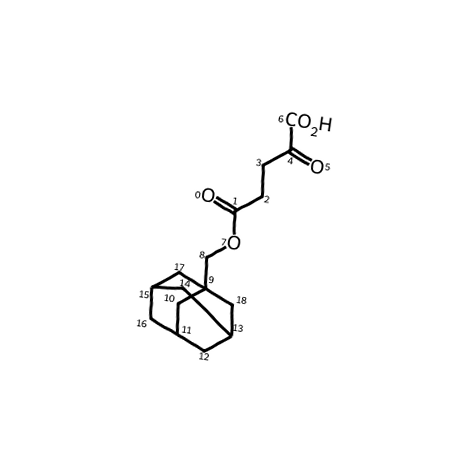 O=C(CCC(=O)C(=O)O)OCC12CC3CC(CC(C3)C1)C2